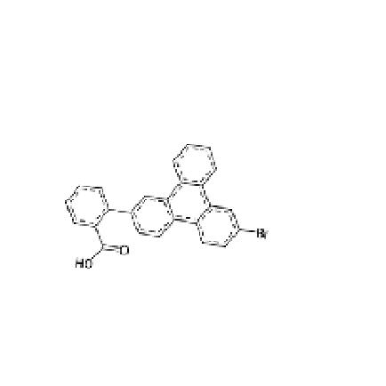 O=C(O)c1ccccc1-c1ccc2c3ccc(Br)cc3c3ccccc3c2c1